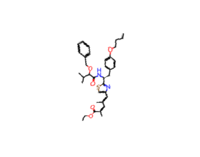 CCCCOc1ccc(C[C@H](NC(=O)C(OCc2ccccc2)C(C)C)c2nc(/C=C(C)/C=C(/C)C(=O)OCC)cs2)cc1